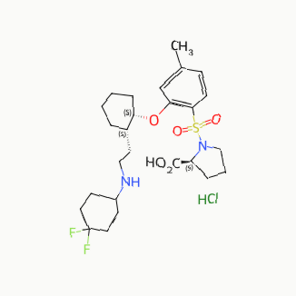 Cc1ccc(S(=O)(=O)N2CCC[C@H]2C(=O)O)c(O[C@H]2CCCC[C@H]2CCNC2CCC(F)(F)CC2)c1.Cl